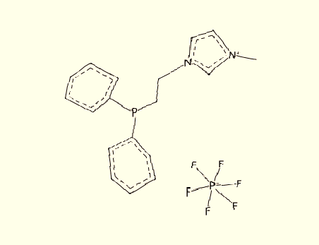 C[n+]1ccn(CCP(c2ccccc2)c2ccccc2)c1.F[P-](F)(F)(F)(F)F